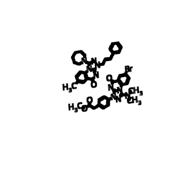 COC(=O)Cc1ccc(-n2nc(N(C)C)n3c4ccc(Br)cc4c(=O)nc23)cc1.Cc1ccc2c(c1)c(=O)nc1n(CC=Cc3ccccc3)nc(N3CCCCCC3)n21